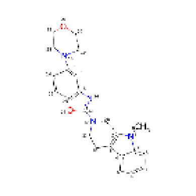 Cn1c2c(c3ccccc31)CCN(c1nc3cc(N4CCOCC4)ccc3o1)C2